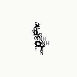 N#Cc1c[nH]c2c(NS(=O)(=O)c3cnn(CC(F)(F)F)c3)ccc(F)c12